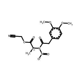 COc1ccc(CC(=O)N([C@@H](C)C(=O)OCC#N)[N+](=O)[O-])cc1OC